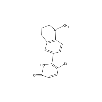 CCc1ccc(=O)[nH]c1-c1ccc2c(c1)CCCN2C